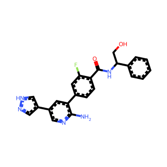 Nc1ncc(-c2cn[nH]c2)cc1-c1ccc(C(=O)NC(CO)c2ccccc2)c(F)c1